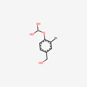 [2H]c1cc(CO)ccc1OB(O)O